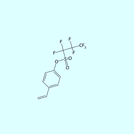 C=Cc1ccc(OS(=O)(=O)C(F)(F)C(F)(F)C(F)(F)F)cc1